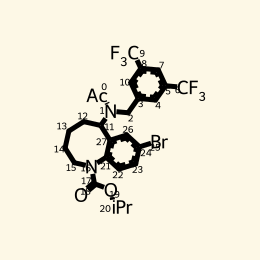 CC(=O)N(Cc1cc(C(F)(F)F)cc(C(F)(F)F)c1)C1CCCCN(C(=O)OC(C)C)c2ccc(Br)cc21